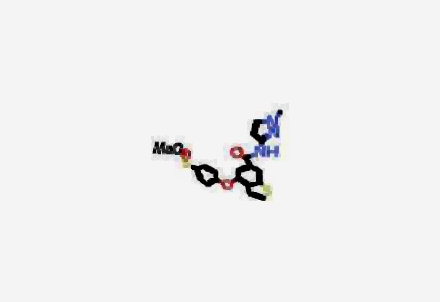 COOSc1ccc(Oc2cc(C(=O)Nc3ccn(C)n3)cc3sccc23)cc1